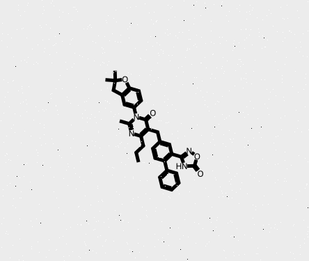 CCCc1nc(C)n(-c2ccc3c(c2)CC(C)(C)O3)c(=O)c1Cc1ccc(-c2ccccc2)c(-c2noc(=O)[nH]2)c1